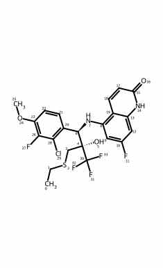 CCSC[C@@](O)([C@H](Nc1cc(F)cc2[nH]c(=O)ccc12)c1ccc(OC)c(F)c1Cl)C(F)(F)F